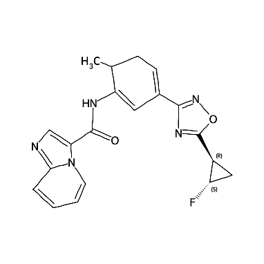 CC1CC=C(c2noc([C@H]3C[C@@H]3F)n2)C=C1NC(=O)c1cnc2ccccn12